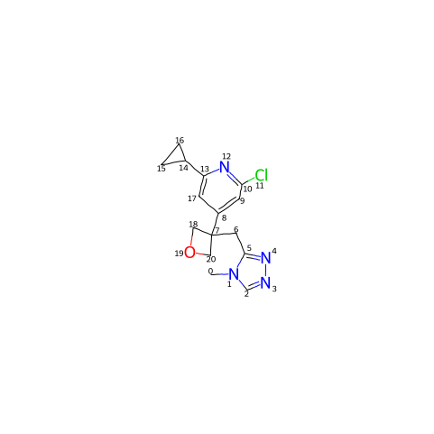 Cn1cnnc1CC1(c2cc(Cl)nc(C3CC3)c2)COC1